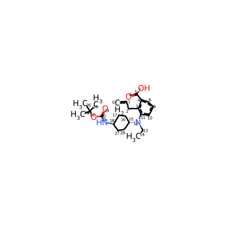 C=CCc1c(C(=O)O)cccc1N(CC)[C@H]1CC[C@H](NC(=O)OC(C)(C)C)CC1